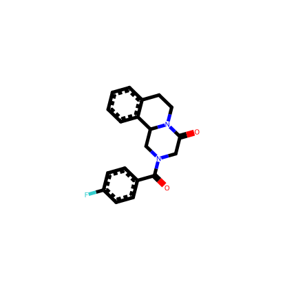 O=C(c1ccc(F)cc1)N1CC(=O)N2CCc3ccccc3C2C1